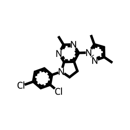 Cc1cc(C)n(-c2nc(C)nc3c2CCN3c2ccc(Cl)cc2Cl)n1